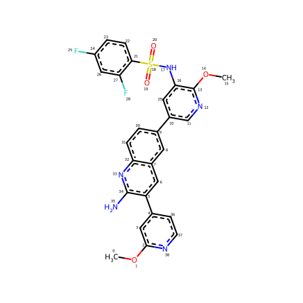 COc1cc(-c2cc3cc(-c4cnc(OC)c(NS(=O)(=O)c5ccc(F)cc5F)c4)ccc3nc2N)ccn1